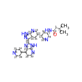 CC(C)CC(=O)Nc1cncc(-c2cnc3[nH]nc(-c4nc5c(-c6ccncc6)ccnc5[nH]4)c3c2)c1